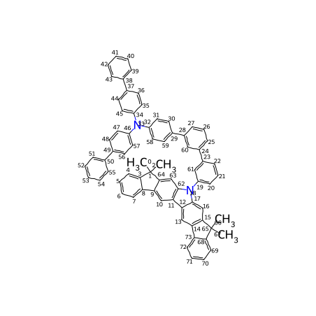 CC1(C)c2ccccc2-c2cc3c4cc5c(cc4n(-c4cccc(-c6cccc(-c7ccc(N(c8ccc(-c9ccccc9)cc8)c8ccc(-c9ccccc9)cc8)cc7)c6)c4)c3cc21)C(C)(C)c1ccccc1-5